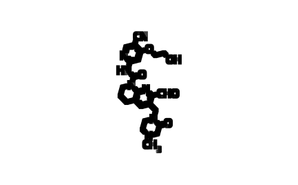 CN1CCN(Cc2cc3c(nc2C=O)N(C(=O)Nc2cc(OCCO)c(C#N)cn2)CCC3)C(=O)C1